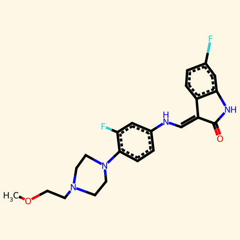 COCCN1CCN(c2ccc(N/C=C3/C(=O)Nc4cc(F)ccc43)cc2F)CC1